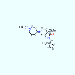 CCOC(=O)N1CCCC(N2CCC(OC)(C(=O)NCC3(C)CCC3)CC2)CC1